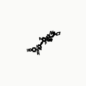 Cc1ncc(Cl)cc1S(=O)(=O)Nc1ccc(F)c(C#Cc2cnc(N[C@H]3CC[C@H](O)CC3)nc2)c1F